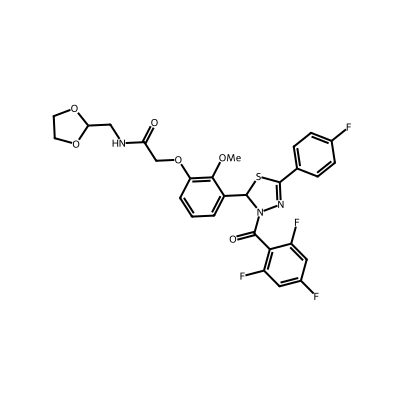 COc1c(OCC(=O)NCC2OCCO2)cccc1C1SC(c2ccc(F)cc2)=NN1C(=O)c1c(F)cc(F)cc1F